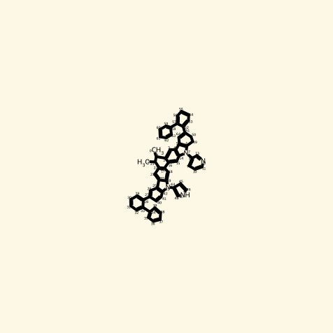 CC1c2cc3c4c(n(-c5cccnc5)c3cc2-c2cc3c(cc2C1C)c1cc(-c2ccccc2-c2ccccc2)ccc1n3-c1cc[nH]c1)CCC(c1ccccc1-c1ccccc1)=C4